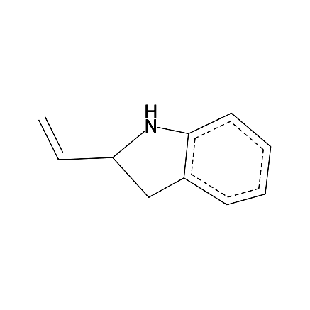 C=CC1Cc2ccccc2N1